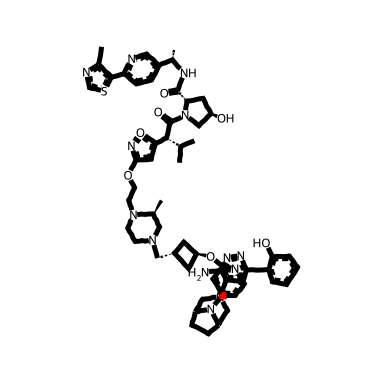 Cc1ncsc1-c1ccc([C@H](C)NC(=O)[C@@H]2C[C@@H](O)CN2C(=O)[C@@H](c2cc(OCCN3CCN(C[C@H]4C[C@H](Oc5cc(N6C7CCC6CN(c6cc(-c8ccccc8O)nnc6N)C7)ccn5)C4)C[C@@H]3C)no2)C(C)C)cn1